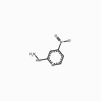 NNc1cc([N+](=O)[O-])ccn1